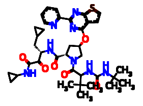 CC(C)(C)NC(=O)N[C@H](C(=O)N1C[C@H](Oc2nc(-c3ccccn3)nc3sccc23)C[C@H]1C(=O)N[C@@H](CC1CC1)C(=O)C(=O)NC1CC1)C(C)(C)C